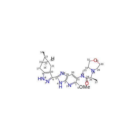 COc1nc2[nH]c(-c3n[nH]c4c3C[C@@H]3[C@H](C)[C@]3(C)C4)nc2cc1N(C)C(=O)[C@H](C)N1CCOCC1